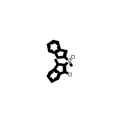 C[C]1C([Si](C)(Cl)C2=Cc3ccccc3[CH]2)=C(Cl)c2ccccc21